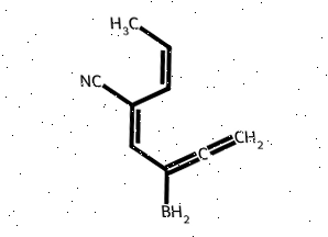 BC(=C=C)/C=C(C#N)\C=C/C